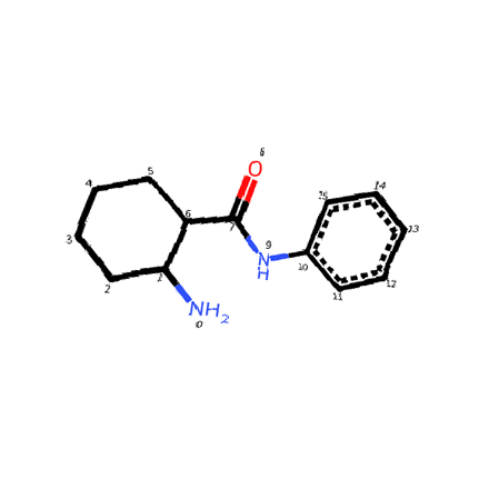 NC1CCCCC1C(=O)Nc1ccccc1